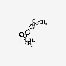 C=C(C)N[C@@H]1CC2(CCN(C3CCN(C(=O)OCC)CC3)CC2)c2ccccc21